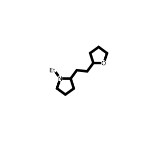 [CH2]CN1CCCC1CCC1CCCO1